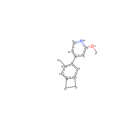 COc1cc(-c2cc3c(cc2C)CC3)ccn1